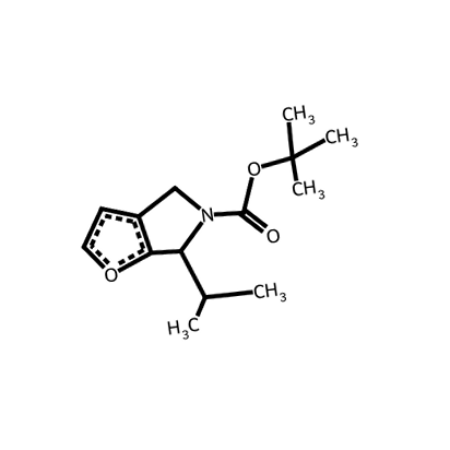 CC(C)C1c2occc2CN1C(=O)OC(C)(C)C